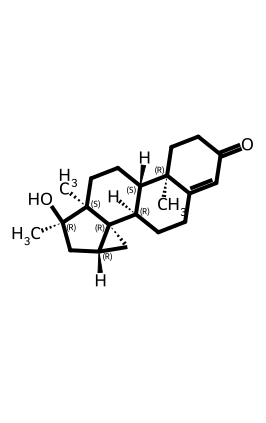 C[C@]12CC[C@H]3[C@@H](CCC4=CC(=O)CC[C@@]43C)[C@]13C[C@@H]3C[C@@]2(C)O